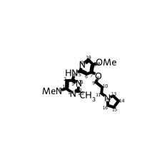 CNc1cc(Nc2cc(OCCCN3CCCC3)c(OC)cn2)nc(C)n1